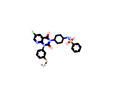 CSc1cccc(-n2c(=O)n(C3CCC(NS(=O)(=O)c4ccccc4)CC3)c(=O)c3cc(F)cnc32)c1